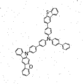 c1ccc(-c2ccc(N(c3ccc(-c4ccc(-n5c6ccccc6c6cc7c(cc65)oc5ccccc57)cc4)cc3)c3ccc(-c4ccc5sc6ccccc6c5c4)cc3)cc2)cc1